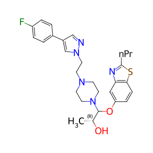 CCCc1nc2cc(OC([C@@H](C)O)N3CCN(CCn4cc(-c5ccc(F)cc5)cn4)CC3)ccc2s1